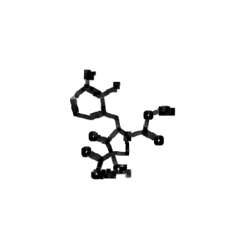 COC(=O)C1(C)CN(C(=O)OC(C)(C)C)C(Cc2cccc(Br)c2F)C1=O